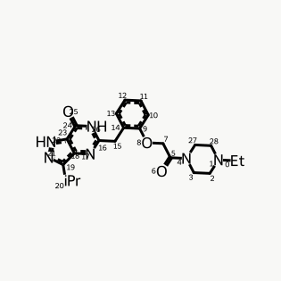 CCN1CCN(C(=O)COc2ccccc2Cc2nc3c(C(C)C)n[nH]c3c(=O)[nH]2)CC1